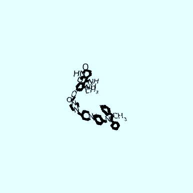 CNc1cc(OCC(=O)N2CCN(CC3CCN(c4ccc(Cn5c(-c6ccccc6)c(C)c6ccccc65)cc4)CC3)CC2)ccc1C(=N)C1CCC(=O)NC1=O